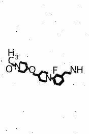 CC(=O)N1CCC(OCC2CCN(c3cccc(CC=N)c3F)CC2)CC1